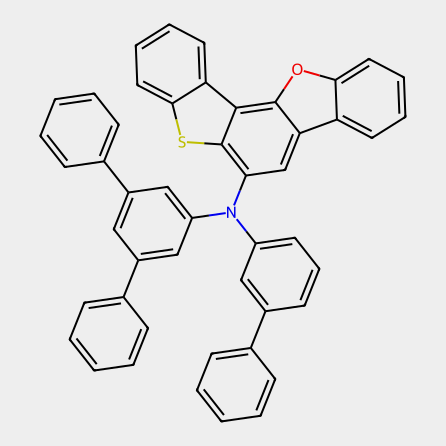 c1ccc(-c2cccc(N(c3cc(-c4ccccc4)cc(-c4ccccc4)c3)c3cc4c5ccccc5oc4c4c3sc3ccccc34)c2)cc1